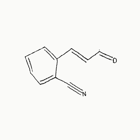 N#Cc1ccccc1/C=C/[C]=O